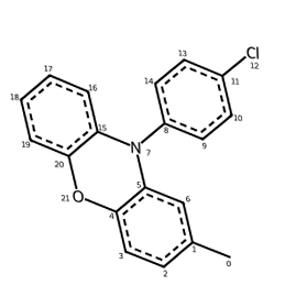 Cc1ccc2c(c1)N(c1ccc(Cl)cc1)c1ccccc1O2